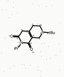 CC(C)N1C(=O)CC2=C(CN(C(C)(C)C)CC2)C1=O